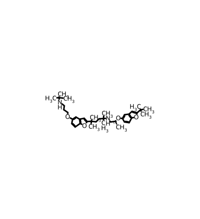 C[C@@H](CNC(C)(C)CCC(C)(C)c1cc2cc(OCCCNC(C)(C)C)ccc2o1)Oc1ccc2oc(C(C)(C)C)cc2c1